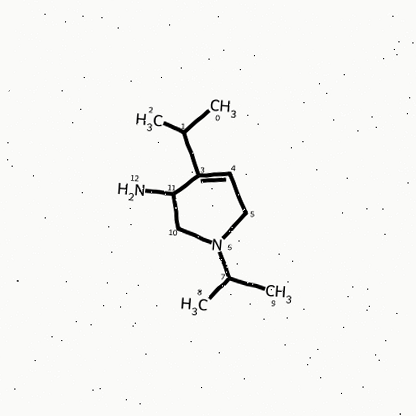 CC(C)C1=CCN(C(C)C)CC1N